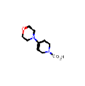 O=C(O)N1CC=C(N2CCOCC2)CC1